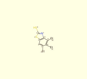 CCc1cc2sc(S)nc2c(CC)c1CC